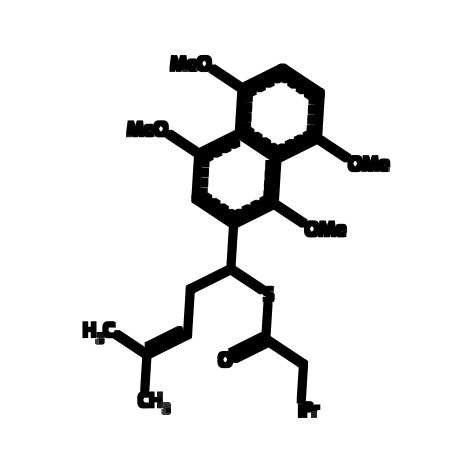 COc1ccc(OC)c2c(OC)c(C(CC=C(C)C)SC(=O)CC(C)C)cc(OC)c12